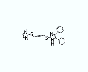 Cn1ccnc1SCC#CCSc1nc(-c2ccccc2)c(-c2ccccc2)[nH]1